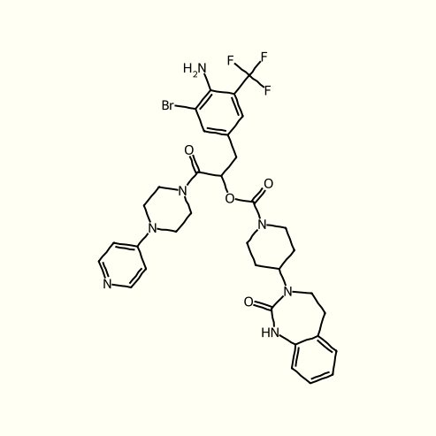 Nc1c(Br)cc(CC(OC(=O)N2CCC(N3CCc4ccccc4NC3=O)CC2)C(=O)N2CCN(c3ccncc3)CC2)cc1C(F)(F)F